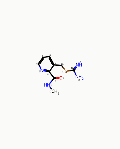 CNC(=O)c1ncccc1CSC(=N)N